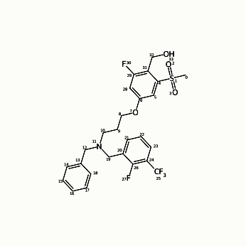 CS(=O)(=O)c1cc(OCCCN(Cc2ccccc2)Cc2cccc(C(F)(F)F)c2F)cc(F)c1CO